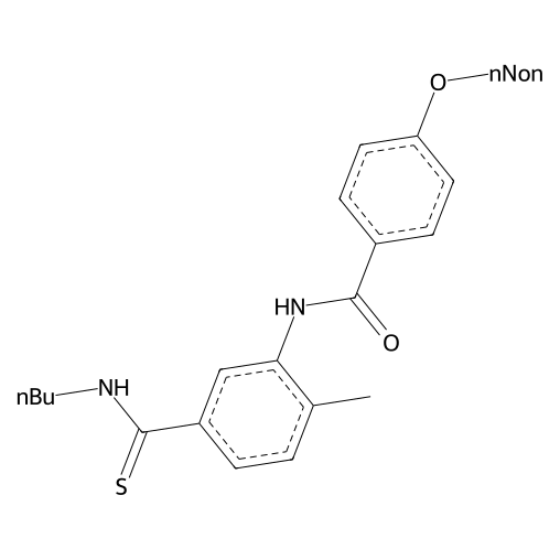 CCCCCCCCCOc1ccc(C(=O)Nc2cc(C(=S)NCCCC)ccc2C)cc1